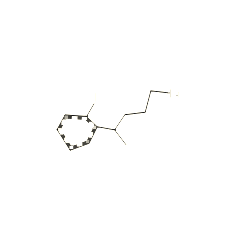 CC(CCCBr)c1ccccc1F